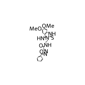 COc1cc2[nH]c(=S)n(CCNC(=O)c3nnc(-c4ccccc4)o3)c(=N)c2cc1OC